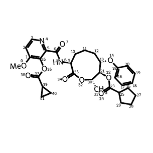 COc1ccnc(C(=O)N[C@H]2CCC[C@H](Oc3ccccc3)[C@@H](OC(=O)C3CCCC3)[C@H](C)OC2=O)c1OC(=O)C1CC1